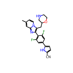 Cc1ccn2c(CC3CNCCO3)c(-c3c(F)cc(-c4ccc(C#N)[nH]4)cc3F)nc2c1